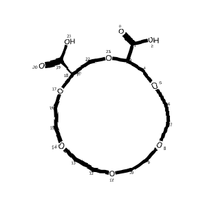 O=C(O)C1COCCOCCOCCOCCO[C@@H](C(=O)O)CO1